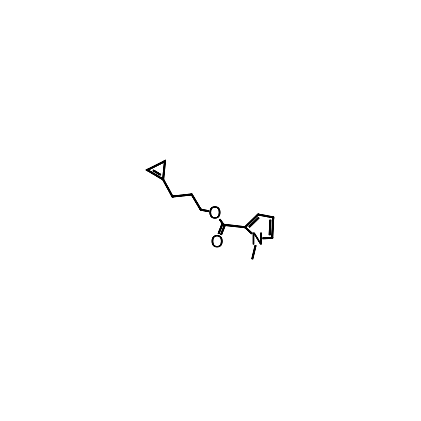 Cn1cccc1C(=O)OCCCC1=CC1